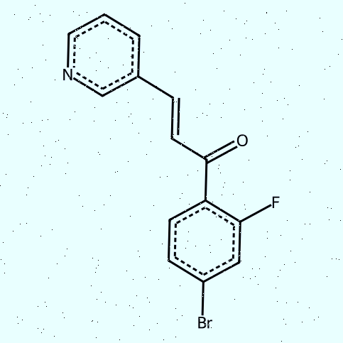 O=C(C=Cc1cccnc1)c1ccc(Br)cc1F